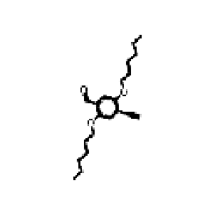 C#Cc1cc(OCCCCCC)c(C=O)cc1OCCCCCC